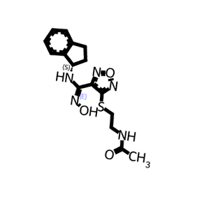 CC(=O)NCCSc1nonc1/C(=N\O)N[C@H]1CCc2ccccc21